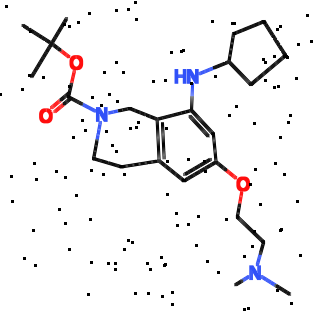 CN(C)CCOc1cc2c(c(NC3CCCC3)c1)CN(C(=O)OC(C)(C)C)CC2